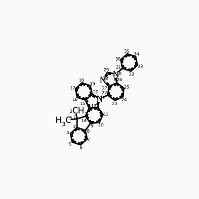 CC1(C)c2ccccc2-c2ccc3c(c21)c1ccccc1n3-c1cccc2c1ncn2-c1ccccc1